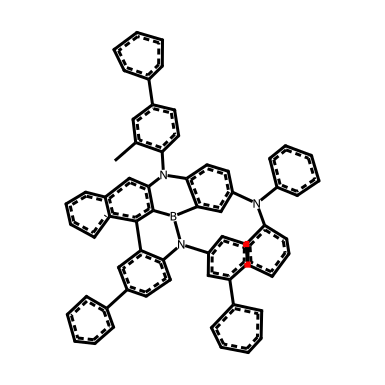 Cc1cc(-c2ccccc2)ccc1N1c2ccc(N(c3ccccc3)c3ccccc3)cc2B2c3c1cc1ccccc1c3-c1cc(-c3ccccc3)ccc1N2c1cccc(-c2ccccc2)c1